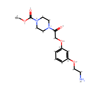 CC(C)(C)OC(=O)N1CCN(C(=O)COc2cccc(OCCN)c2)CC1